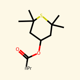 CCCC(=O)OC1CC(C)(C)SC(C)(C)C1